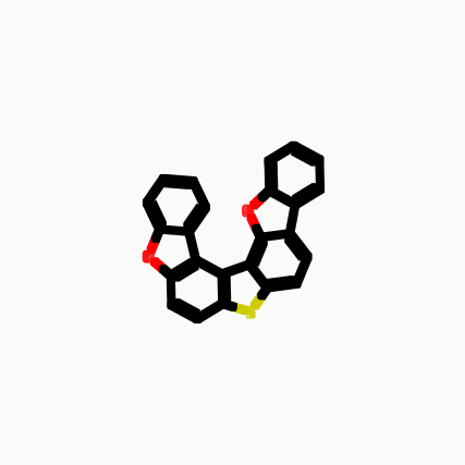 c1ccc2c(c1)oc1c2ccc2sc3ccc4oc5ccccc5c4c3c21